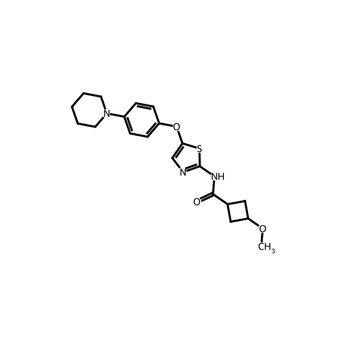 COC1CC(C(=O)Nc2ncc(Oc3ccc(N4CCCCC4)cc3)s2)C1